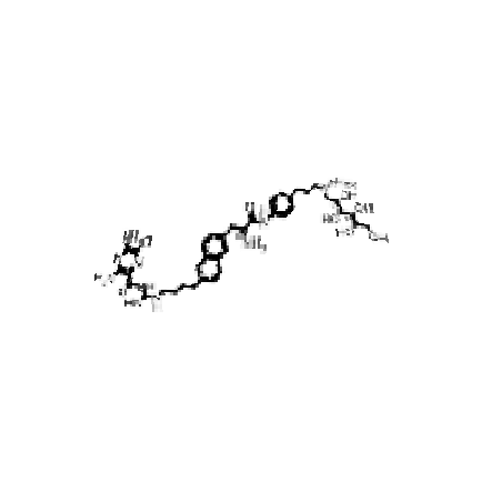 CCCCCCN(CCCc1ccc(NC(=O)[C@@H](N)Cc2ccc3cc(CCCCNC(=N)NC(=O)c4nc(Cl)c(N)nc4N)ccc3c2)cc1)C[C@H](O)[C@@H](O)[C@H](O)[C@H](O)CO